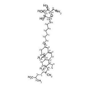 CC(C)CCC[C@@H](C)[C@H]1CCC2C3CC=C4CC(OCCCCCCS[C@@H]5O[C@H](CN)[C@H](O)[C@H](O)[C@H]5O)CC[C@]4(C)C3CC[C@@]21C